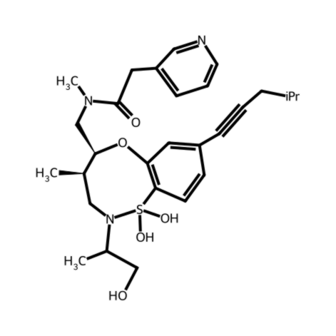 CC(C)CC#Cc1ccc2c(c1)O[C@H](CN(C)C(=O)Cc1cccnc1)[C@H](C)CN(C(C)CO)S2(O)O